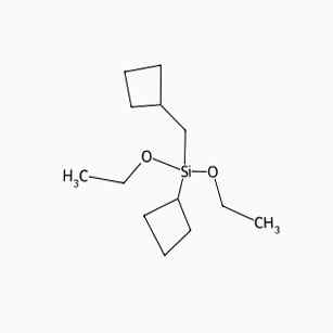 CCO[Si](CC1CCC1)(OCC)C1CCC1